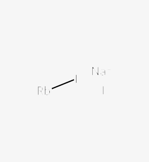 [I-].[Na+].[Rb][I]